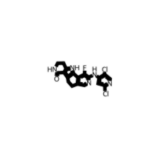 O=C1NCCc2[nH]c3c(c21)CCc1cnc(Nc2cc(Cl)ncc2Cl)c(F)c1-3